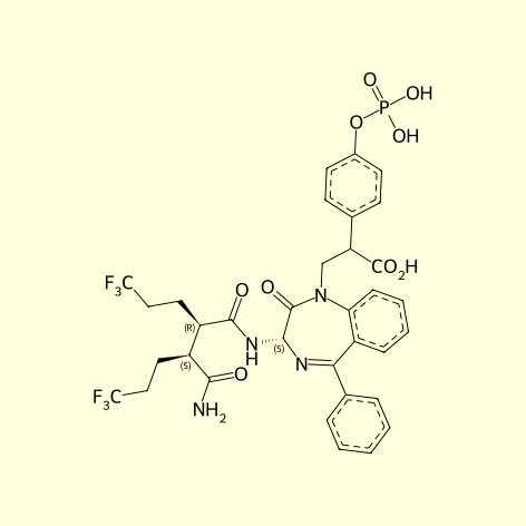 NC(=O)[C@@H](CCC(F)(F)F)[C@@H](CCC(F)(F)F)C(=O)N[C@H]1N=C(c2ccccc2)c2ccccc2N(CC(C(=O)O)c2ccc(OP(=O)(O)O)cc2)C1=O